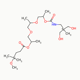 CO[Si](C)(C)CCC(=O)OC(C)COCC(C)OCC(C)OC(=O)NC[Si](C)(CO)CO